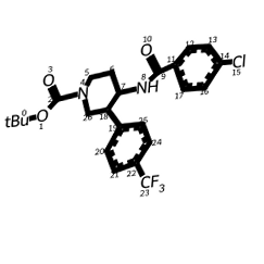 CC(C)(C)OC(=O)N1CCC(NC(=O)c2ccc(Cl)cc2)C(c2ccc(C(F)(F)F)cc2)C1